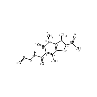 CC1c2c(c(O)c(C(=O)NCC=O)c(=O)n2C)SC1C(=O)O